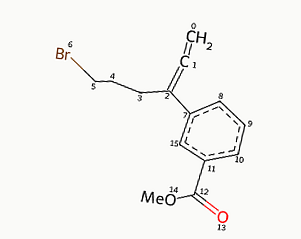 C=C=C(CCCBr)c1cccc(C(=O)OC)c1